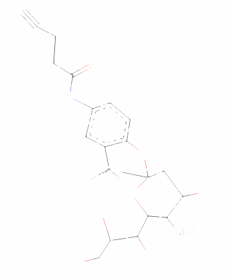 C#CCCC(=O)Nc1ccc(OC2(C(=O)O)CC(O)C(NC(C)=O)C(C(O)C(O)CO)O2)c(C(F)F)c1